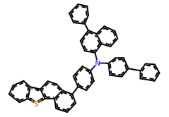 c1ccc(-c2ccc(N(c3ccc(-c4cccc5c4ccc4c6ccccc6sc54)cc3)c3ccc(-c4ccccc4)c4ccccc34)cc2)cc1